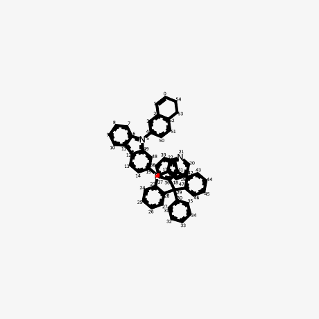 C1=Cc2cc(-n3c4ccccc4c4ccc(N(c5cccnc5)c5ccccc5C5(c6ccccc6)c6ccccc6-c6ccccc65)cc43)ccc2CC1